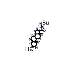 CCCCO/N=C(/C)C1=CCC2C3CC=C4CC(O)CCC4(C)C3CCC12C